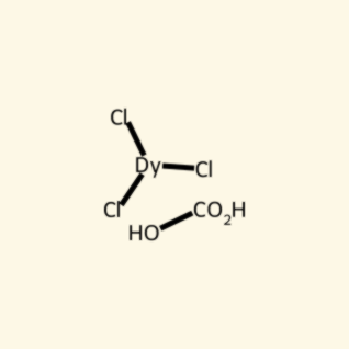 O=C(O)O.[Cl][Dy]([Cl])[Cl]